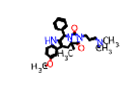 CCC12Cc3c([nH]c4ccc(OC)cc34)C(c3ccccc3)N1C(=O)N(CCCN(C)C)C2=O